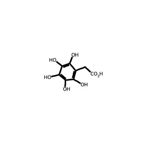 O=C(O)Cc1c(O)c(O)c(O)c(O)c1O